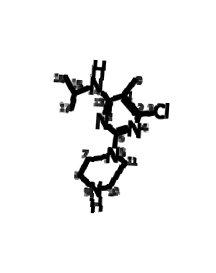 Cc1c(Cl)nc(N2CCNCC2)nc1NC(C)C